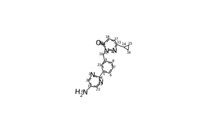 Nc1cnc(-c2cccc(Cn3nc(C4CC4)ccc3=O)c2)nc1